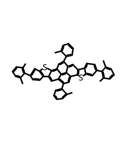 Cc1ccccc1-c1cc2c3sc4cc(-c5c(C)cccc5C)ccc4c3cc3c(-c4ccccc4C)cc4c5sc6cc(-c7c(C)cccc7C)ccc6c5cc1c4c32